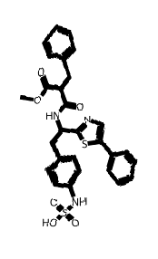 COC(=O)C(Cc1ccccc1)C(=O)NC(Cc1ccc(NS(=O)(=O)O)cc1)c1ncc(-c2ccccc2)s1